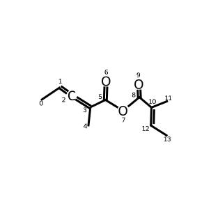 CC=C=C(C)C(=O)OC(=O)C(C)=CC